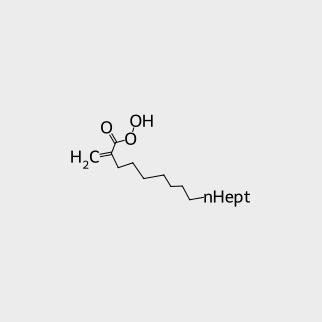 C=C(CCCCCCCCCCCCCC)C(=O)OO